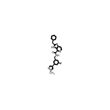 Cn1cc(-c2cc(F)cc(CNC(=O)c3nccc4nc(Cc5ccccc5)[nH]c34)c2)cn1